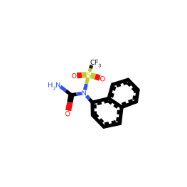 NC(=O)N(c1cccc2ccccc12)S(=O)(=O)C(F)(F)F